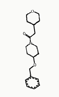 O=C(CC1CCOCC1)N1CCC(OCc2ccccc2)CC1